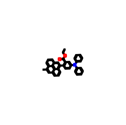 CCOC(=O)c1cc(N(c2ccccc2)c2ccccc2)ccc1-c1cc2cccc3c(C)cc4cccc1c4c23